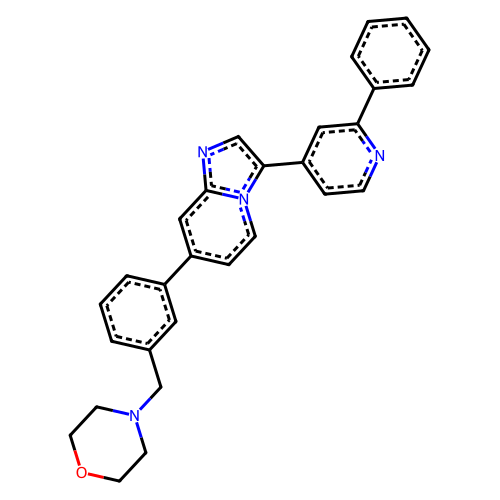 c1ccc(-c2cc(-c3cnc4cc(-c5cccc(CN6CCOCC6)c5)ccn34)ccn2)cc1